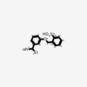 CCCC(CC)c1cccc(OCc2ccccc2S(=O)(=O)O)c1